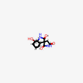 O=C1CC2(C(=O)N1)C(=O)Nc1c(O)cccc12